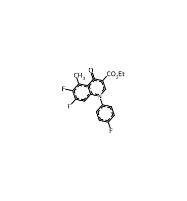 CCOC(=O)c1cn(-c2ccc(F)cc2)c2cc(F)c(F)c(C)c2c1=O